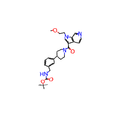 COCCn1cc(C(=O)N2CCC(c3cccc(CNC(=O)OC(C)(C)C)c3)CC2)c2ccncc21